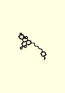 O=c1cc(-c2ccncc2)c2c(O)cc(CCCCCc3ccc(F)cc3)cc2o1